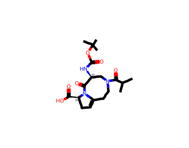 CC(C)C(=O)N1CCC2=CC[C@@H](C(=O)O)N2C(=O)[C@@H](NC(=O)OC(C)(C)C)C1